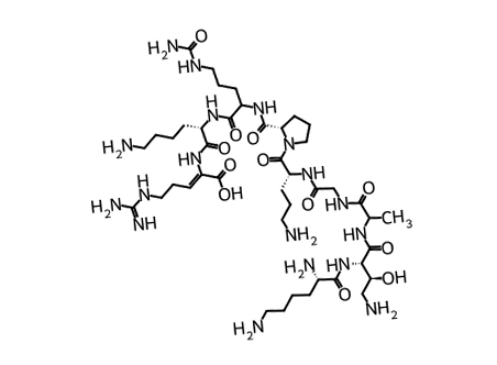 CC(NC(=O)[C@@H](NC(=O)[C@@H](N)CCCCN)[C@@H](O)CN)C(=O)NCC(=O)N[C@H](CCCN)C(=O)N1CCC[C@H]1C(=O)NC(CCCNC(N)=O)C(=O)N[C@@H](CCCCN)C(=O)N/C(=C\CCNC(=N)N)C(=O)O